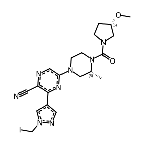 CO[C@H]1CCN(C(=O)N2CCN(c3cnc(C#N)c(-c4cnn(CI)c4)n3)C[C@H]2C)C1